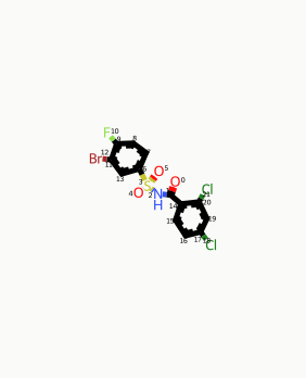 O=C(NS(=O)(=O)c1ccc(F)c(Br)c1)c1ccc(Cl)cc1Cl